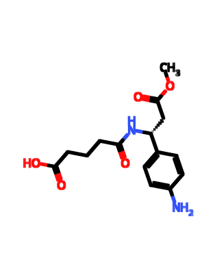 COC(=O)C[C@@H](NC(=O)CCCC(=O)O)c1ccc(N)cc1